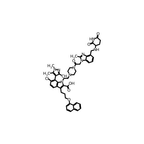 Cc1nn(C)c(C)c1-c1c(Cl)ccc2c(CCCOc3cccc4ccccc34)c(C(=O)O)n(CCN3CCN(C(=O)Cn4c(C)nc5c(CNC6CCC(=O)NC6=O)cccc54)CC3)c12